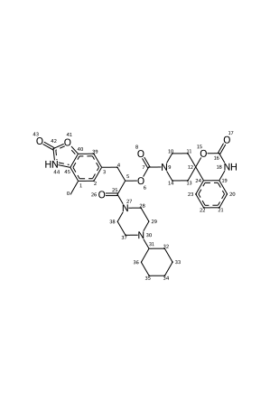 Cc1cc(CC(OC(=O)N2CCC3(CC2)OC(=O)Nc2ccccc23)C(=O)N2CCN(C3CCCCC3)CC2)cc2oc(=O)[nH]c12